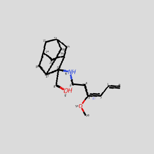 C=C/C=C(\CCNC1(CO)C2CC3CC(C2)CC1C3)OC